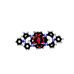 c1ccc(N2c3cccc(c3)N3c4cccc(c4)N(c4ccccc4)c4cccc(c4)N(c4cccc2c4)c2cc3c3ccc4c5cc(c6ccc2c3c46)N2c3cccc(c3)N(c3ccccc3)c3cccc(c3)N5c3cccc(c3)N(c3ccccc3)c3cccc2c3)cc1